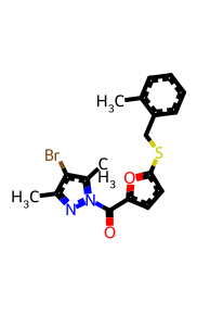 Cc1ccccc1CSc1ccc(C(=O)n2nc(C)c(Br)c2C)o1